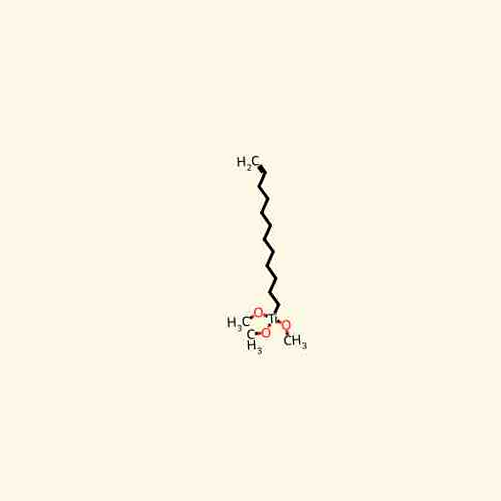 C=CCCCCCCCCC[CH2][Ti]([O]C)([O]C)[O]C